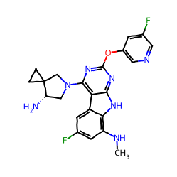 CNc1cc(F)cc2c1[nH]c1nc(Oc3cncc(F)c3)nc(N3C[C@H](N)C4(CC4)C3)c12